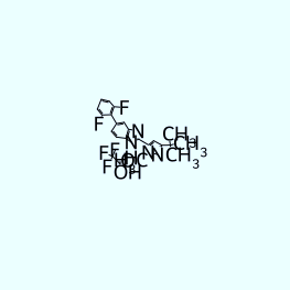 Cn1nc(C(C)(C)C)cc1-c1nc2cc(-c3c(F)cccc3F)ccc2[nH]1.O=C(O)C(F)(F)F